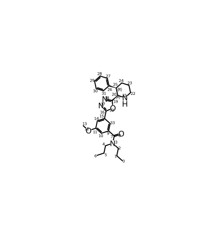 CCCN(CCC)C(=O)c1cc(OC)cc(-c2nnc([C@@H]3NCCC[C@@H]3c3ccccc3)o2)c1